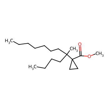 CCCCCCCC(C)(CCCC)C1(C(=O)OC)CC1